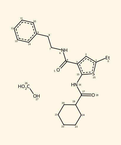 CCc1cc(C(=O)NCCc2ccccc2)c(NC(=O)C2CCCCC2)s1.O=C(O)O